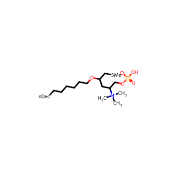 CCCCCCCCCCCCCCCCOC(CSC)CC(COP(=O)([O-])O)[N+](C)(C)C